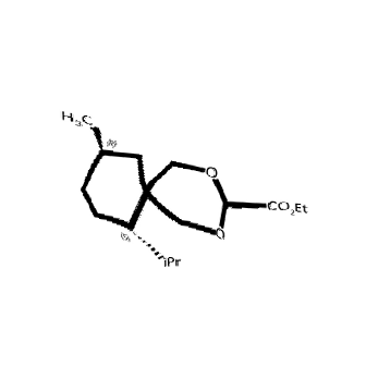 CCOC(=O)C1OCC2(CO1)C[C@H](C)CC[C@H]2C(C)C